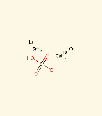 [CaH2].[Ce].[La].[La].[O]=[Cr](=[O])([OH])[OH].[SrH2]